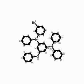 Brc1cccc(N(c2ccccc2)c2cc(Oc3ccccc3)cc(N(c3ccccc3)c3ccccc3)c2)c1